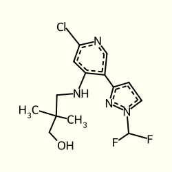 CC(C)(CO)CNc1cc(Cl)ncc1-c1ccn(C(F)F)n1